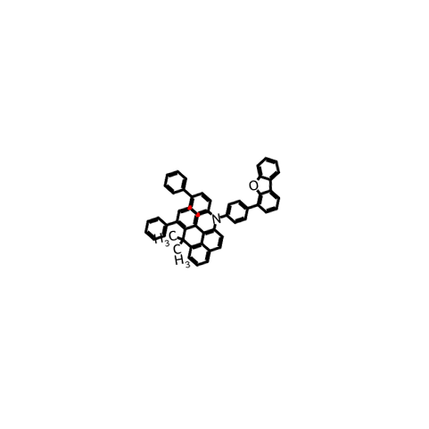 CC1(C)c2c(-c3ccccc3)cccc2-c2c(N(c3ccc(-c4ccccc4)cc3)c3ccc(-c4cccc5c4oc4ccccc45)cc3)ccc3cccc1c23